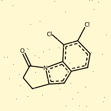 O=C1CCc2cc3ccc(Cl)c(Cl)c3n21